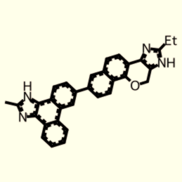 CCc1nc2c([nH]1)COc1c-2ccc2cc(-c3ccc4c(c3)c3ccccc3c3nc(C)[nH]c43)ccc12